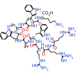 CC(C)[C@H](NC(=O)[C@H](Cc1c[nH]c2ccccc12)NC(=O)[C@H](CCCNC(=N)N)NC(=O)[C@H](CCCNC(=N)N)NC(=O)[C@@H](N)CCCNC(=N)N)C(=O)N[C@@H](Cc1c[nH]c2ccccc12)C(=O)N[C@H](C(=O)N[C@H](C(=O)N[C@@H](Cc1c[nH]c2ccccc12)C(=O)N[C@@H](CCCCN)C(=O)O)C(C)C)C(C)C